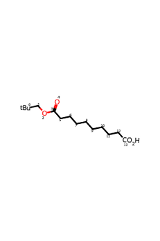 CC(C)(C)COC(=O)CCCCCCCCC(=O)O